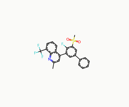 Cc1cc(-c2cc(-c3ccccc3)cc(S(C)(=O)=O)c2F)c2cccc(C(F)(F)F)c2n1